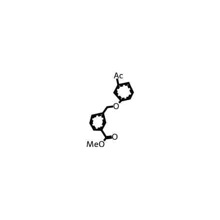 COC(=O)c1cccc(COc2cccc(C(C)=O)c2)c1